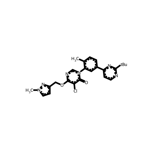 Cc1ccc(-c2ccnc(C(C)(C)C)n2)cc1-n1cnc(OCc2ccn(C)n2)c(Cl)c1=O